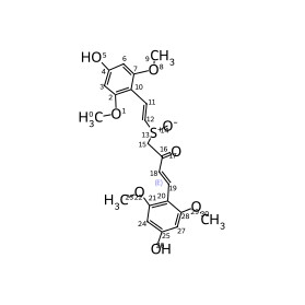 COc1cc(O)cc(OC)c1C=C[S+]([O-])CC(=O)/C=C/c1c(OC)cc(O)cc1OC